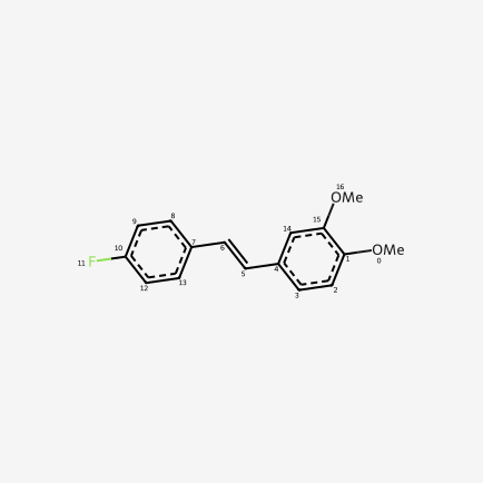 COc1ccc(C=Cc2ccc(F)cc2)cc1OC